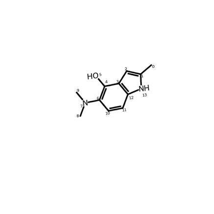 Cc1cc2c(O)c(N(C)C)ccc2[nH]1